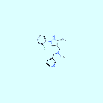 CC1NN(c2ccccc2Cl)C=C1CN(C)Cc1cccnc1